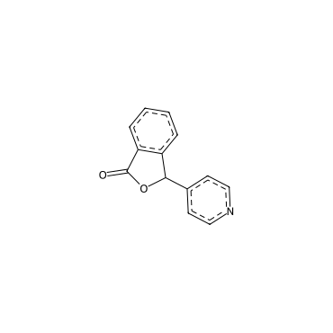 O=C1OC(c2ccncc2)c2ccccc21